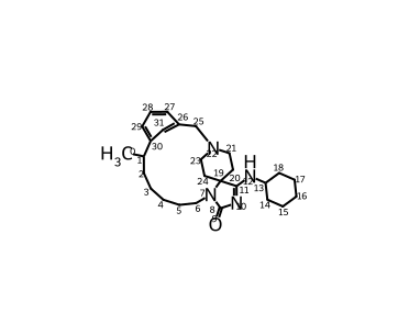 CC1CCCCCN2C(=O)N=C(NC3CCCCC3)C23CCN(CC3)Cc2cccc1c2